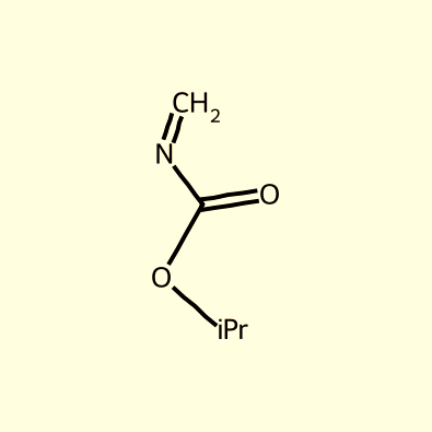 C=NC(=O)OC(C)C